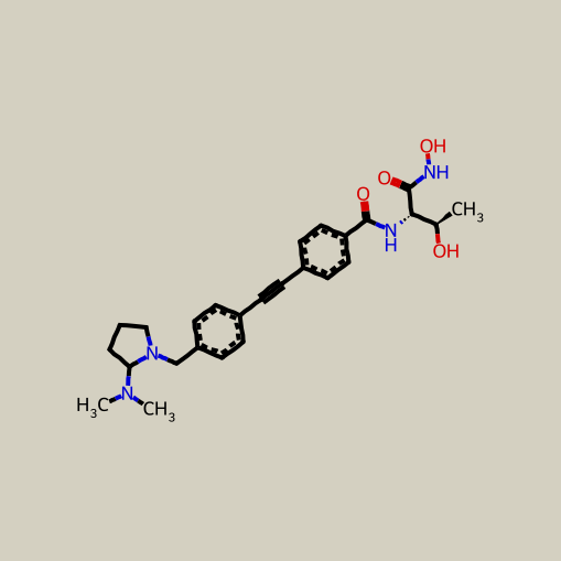 C[C@@H](O)[C@H](NC(=O)c1ccc(C#Cc2ccc(CN3CCCC3N(C)C)cc2)cc1)C(=O)NO